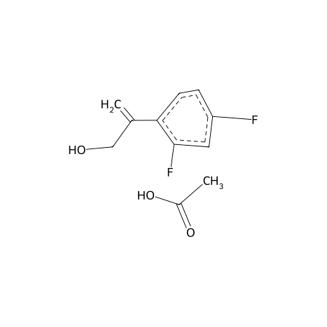 C=C(CO)c1ccc(F)cc1F.CC(=O)O